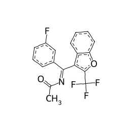 CC(=O)N=C(c1cccc(F)c1)c1c(C(F)(F)F)oc2ccccc12